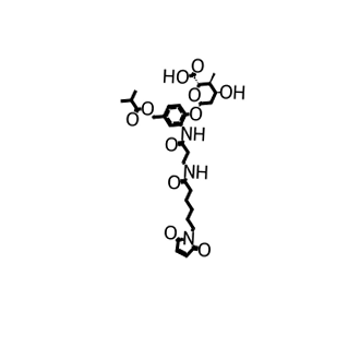 CC(C)C(=O)OCc1ccc(O[C@H]2C[C@@H](O)[C@H](C)[C@@H](C(=O)O)O2)c(NC(=O)CCNC(=O)CCCCCN2C(=O)C=CC2=O)c1